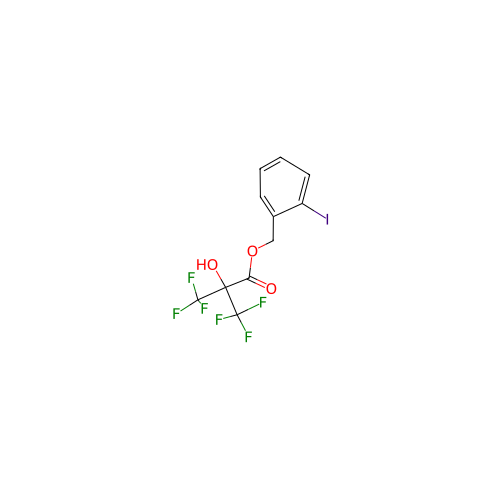 O=C(OCc1ccccc1I)C(O)(C(F)(F)F)C(F)(F)F